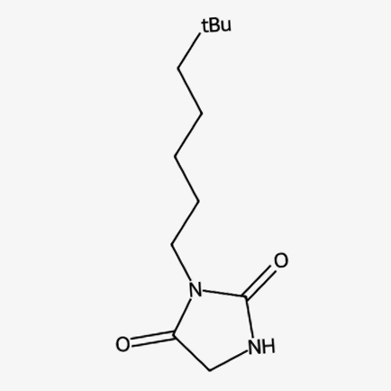 CC(C)(C)CCCCCN1C(=O)CNC1=O